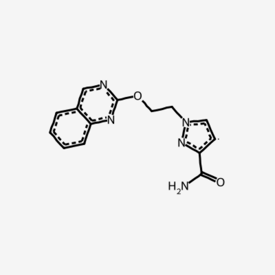 NC(=O)c1[c]cn(CCOc2ncc3ccccc3n2)n1